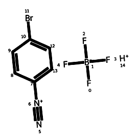 F[B-](F)(F)F.N#[N+]c1ccc(Br)cc1.[H+]